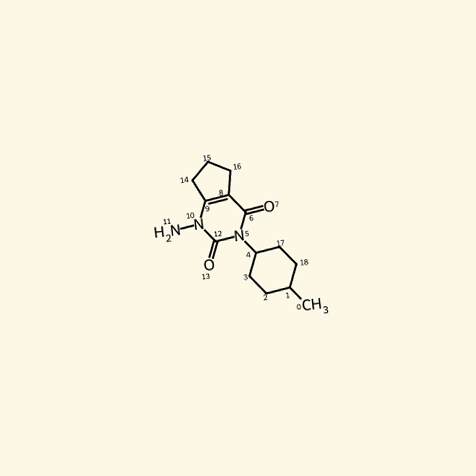 CC1CCC(n2c(=O)c3c(n(N)c2=O)CCC3)CC1